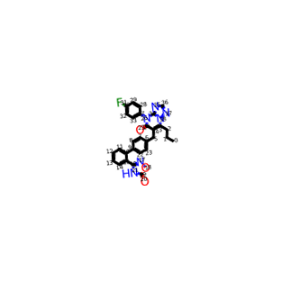 CCCc1c(Cc2ccc(-c3ccccc3-c3noc(=O)[nH]3)cc2)c(=O)n(-c2ccc(F)cc2)c2ncnn12